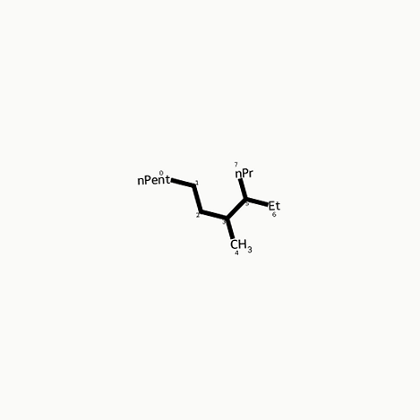 [CH2]CCCCCCC(C)C(CC)CCC